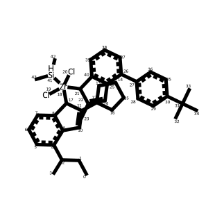 CCC(C)c1cccc2c1C=C(C1CCCC1)[CH]2[Zr]([Cl])([Cl])([CH]1C(C)=Cc2c(-c3ccc(C(C)(C)C)cc3)cccc21)[SiH](C)C